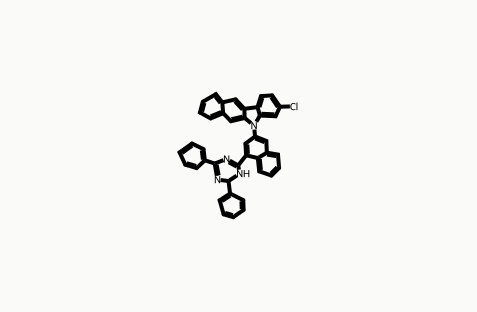 Clc1ccc2c3cc4ccccc4cc3n(-c3cc(C4=NC(c5ccccc5)=NC(c5ccccc5)N4)c4ccccc4c3)c2c1